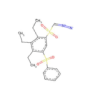 CCc1c(S(=O)(=O)C=[N+]=[N-])cc(S(=O)(=O)c2ccccc2)c(CC)c1CC